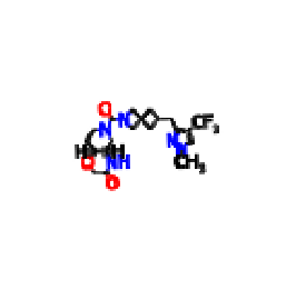 Cn1cc(C(F)(F)F)c(CC2CC3(C2)CN(C(=O)N2CC[C@@H]4OCC(=O)N[C@@H]4C2)C3)n1